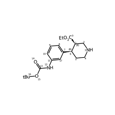 CCOC(=O)[C@H]1CNCC[C@H]1c1cccc(NC(=O)OC(C)(C)C)c1